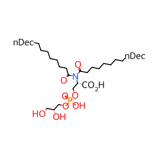 CCCCCCCCCCCCCCCCCC(=O)N(C(=O)CCCCCCCCCCCCCCCCC)[C@@H](COP(=O)(O)OC[C@H](O)CO)C(=O)O